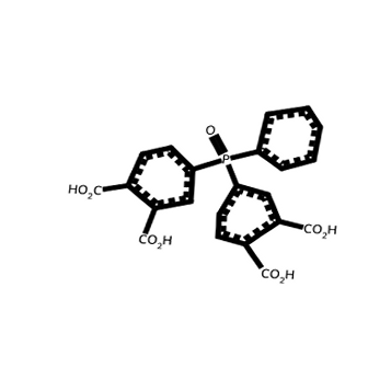 O=C(O)c1ccc(P(=O)(c2ccccc2)c2ccc(C(=O)O)c(C(=O)O)c2)cc1C(=O)O